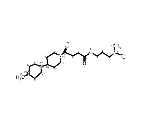 CN(C)CCCOC(=O)CCC(=O)N1CCC(N2CCN(C)CC2)CC1